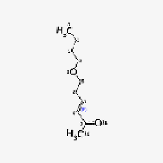 CCCCOCC/C=C/C(C)=O